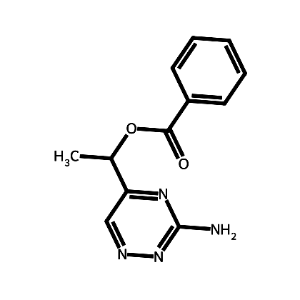 CC(OC(=O)c1ccccc1)c1cnnc(N)n1